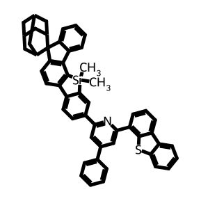 C[Si]1(C)c2cc(-c3cc(-c4ccccc4)cc(-c4cccc5c4sc4ccccc45)n3)ccc2-c2ccc3c(c21)-c1ccccc1C31C2CC3CC(C2)CC1C3